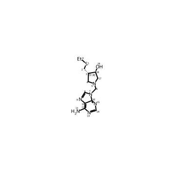 CCSC[C@H]1CN(Cn2cnc3c(N)ncnc32)C[C@@H]1O